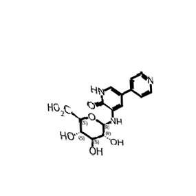 O=C(O)[C@H]1O[C@@H](Nc2cc(-c3ccncc3)c[nH]c2=O)[C@H](O)[C@@H](O)[C@@H]1O